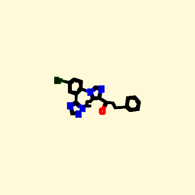 O=C(CCc1ccccc1)c1ncn2c1Cn1ncnc1-c1cc(Br)ccc1-2